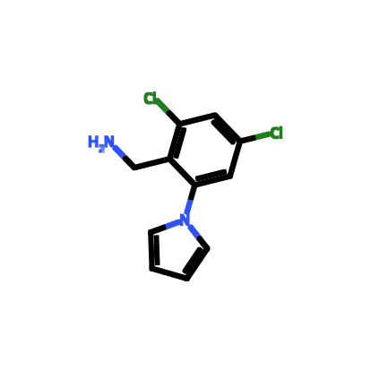 NCc1c(Cl)cc(Cl)cc1-n1cccc1